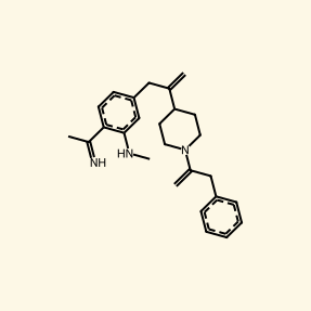 C=C(Cc1ccc(C(C)=N)c(NC)c1)C1CCN(C(=C)Cc2ccccc2)CC1